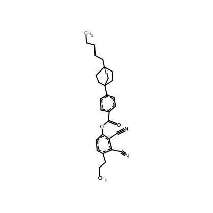 CCCCCC12CCC(c3ccc(C(=O)Oc4ccc(CCC)c(C#N)c4C#N)cc3)(CC1)CC2